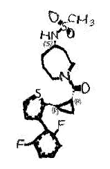 CS(=O)(=O)N[C@H]1CCCN(C(=O)[C@@H]2C[C@H]2c2sccc2-c2c(F)cccc2F)CC1